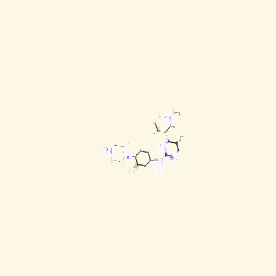 CC1=CCN(C(C)C)C=C1c1nc(Nc2ccc(N3CCN(C)CC3)c(F)c2)ncc1F